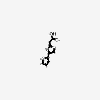 O=C(O)Cc1nc(-c2cccs2)co1